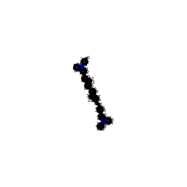 Cc1ccc(-n2c3ccccc3c3cc(-c4ccc5c(c4)C(C)(C)c4cc(-c6ccc7c(c6)C(C)(C)c6cc(/C=C/c8ccc(-c9ccc%10c(c9)c9ccccc9n%10-c9ccccc9)cc8)ccc6-7)ccc4-5)ccc32)cc1